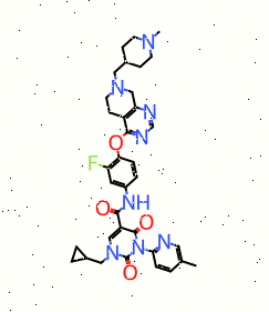 Cc1ccc(-n2c(=O)c(C(=O)Nc3ccc(Oc4ncnc5c4CCN(CC4CCN(C)CC4)C5)c(F)c3)cn(CC3CC3)c2=O)nc1